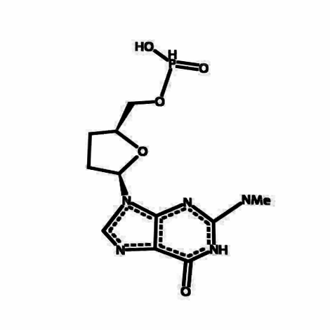 CNc1nc2c(ncn2[C@H]2CC[C@@H](CO[PH](=O)O)O2)c(=O)[nH]1